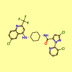 O=C(N[C@H]1CC[C@@H](Nc2cc(C(F)(F)F)nc3ccc(Cl)cc23)CC1)c1cc(Cl)nn1-c1ncccc1Cl